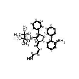 Bc1ccccc1-c1ccccc1[C@@H]1C/C(=C\C=C/C=N)C(B2OC(C)(C)C(C)(C)O2)=C1c1ccccc1